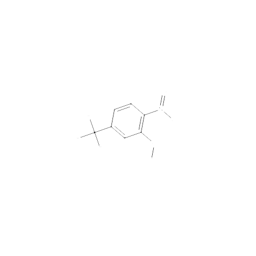 COc1cc(C(F)(F)F)ccc1[N+](=O)[O-]